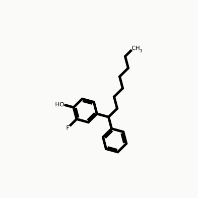 CCCCCCCC(c1ccccc1)c1ccc(O)c(F)c1